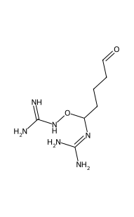 N=C(N)NOC(CCCC=O)N=C(N)N